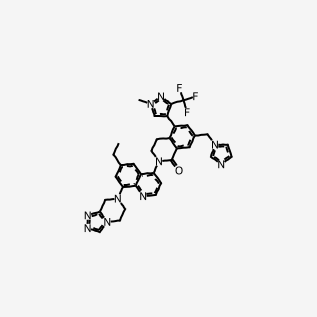 CCc1cc(N2CCn3cnnc3C2)c2nccc(N3CCc4c(cc(Cn5ccnc5)cc4-c4cn(C)nc4C(F)(F)F)C3=O)c2c1